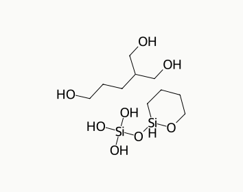 OCCCC(CO)CO.O[Si](O)(O)O[SiH]1CCCCO1